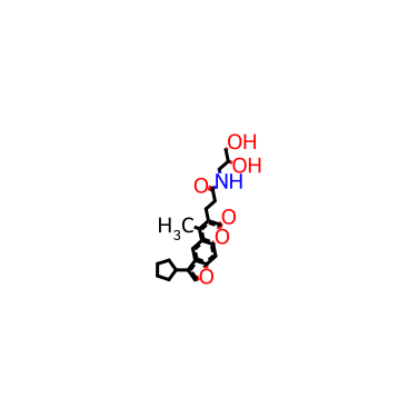 Cc1c(CCC(=O)NCC(O)CO)c(=O)oc2cc3occ(C4CCCC4)c3cc12